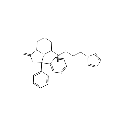 O=C(NCCn1ccnc1)C1CNCC2C(=O)OC(c3ccccc3)(c3ccccc3)N12